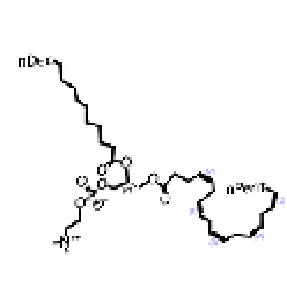 CCCCC/C=C\C/C=C\C/C=C\C/C=C\C/C=C\CCC(=O)OC[C@H](COP(=O)([O-])OCC[N+](C)(C)C)OC(=O)CCCCCCCCCCCCCCCCCCC